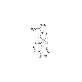 CC(C)N1CC2CC2(C2=CC=CC3N=CC=CC23)C1